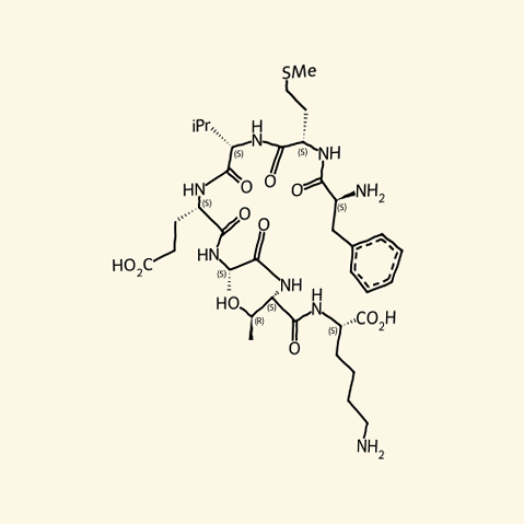 CSCC[C@H](NC(=O)[C@@H](N)Cc1ccccc1)C(=O)N[C@H](C(=O)N[C@@H](CCC(=O)O)C(=O)N[C@@H](C)C(=O)N[C@H](C(=O)N[C@@H](CCCCN)C(=O)O)[C@@H](C)O)C(C)C